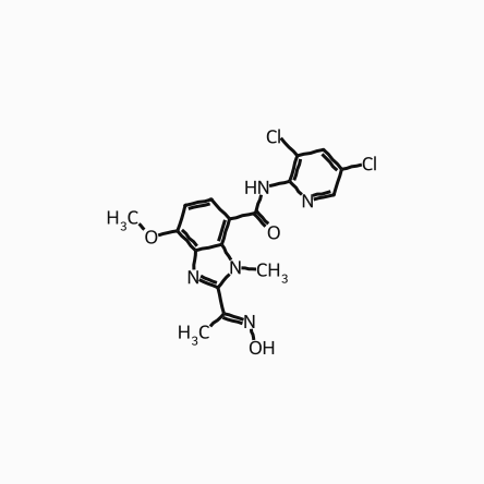 COc1ccc(C(=O)Nc2ncc(Cl)cc2Cl)c2c1nc(C(C)=NO)n2C